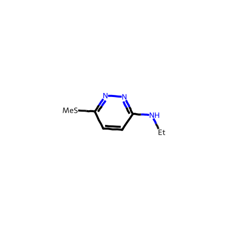 CCNc1ccc(SC)nn1